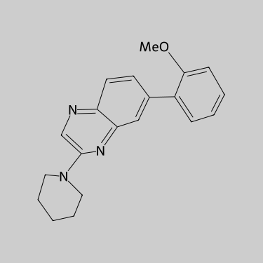 COc1ccccc1-c1ccc2ncc(N3CCCCC3)nc2c1